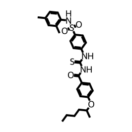 CCCCC(C)Oc1ccc(C(=O)NC(=S)Nc2ccc(S(=O)(=O)Nc3ccc(C)cc3C)cc2)cc1